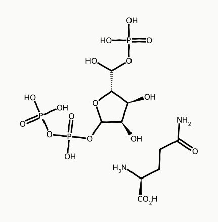 NC(=O)CC[C@H](N)C(=O)O.O=P(O)(O)OC(O)[C@H]1OC(OP(=O)(O)OP(=O)(O)O)[C@H](O)[C@@H]1O